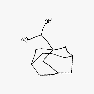 OC(O)C12CC3CC(CC(C3)C1)C2